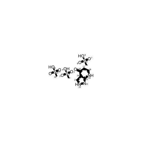 CS(=O)(=O)O.CS(=O)(=O)O.CS(=O)(=O)O.O=c1cc[nH]c2n[nH]cc12